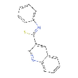 [c]1nc2ccccc2cc1-c1nc2ccccc2s1